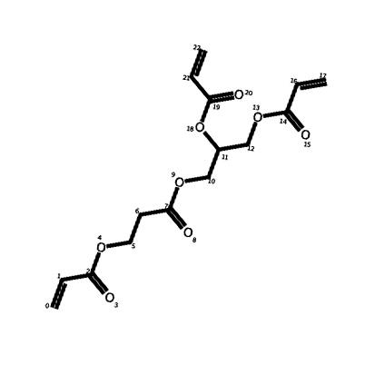 C=CC(=O)OCCC(=O)OCC(COC(=O)C=C)OC(=O)C=C